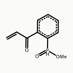 C=CC(=O)c1ccccc1[PH](=O)OC